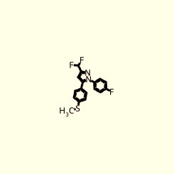 CSc1ccc(-c2cc(C(F)F)nn2-c2ccc(F)cc2)cc1